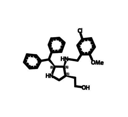 COc1ccc(Cl)cc1CN[C@H]1[C@@H](CCO)CN[C@H]1C(c1ccccc1)c1ccccc1